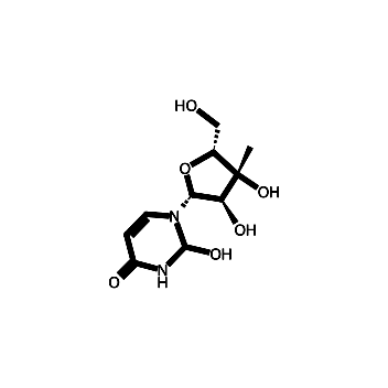 C[C@]1(O)[C@@H](CO)O[C@@H](N2C=CC(=O)NC2O)[C@@H]1O